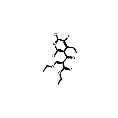 CCOC=C(C(=O)OCC)C(=O)c1c(Cl)nc(Cl)c(F)c1CC